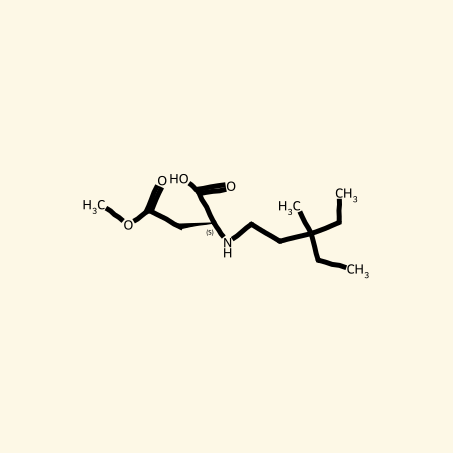 CCC(C)(CC)CCN[C@@H](CC(=O)OC)C(=O)O